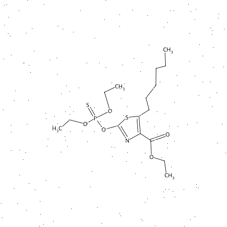 CCCCCCc1sc(OP(=S)(OCC)OCC)nc1C(=O)OCC